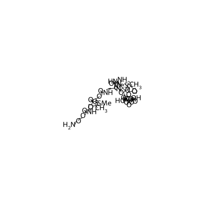 CSSC(C)c1cc(NC(=O)COCCOCCN)ccc1C(=O)OCCOCC(=O)NCC#Cc1cn([C@H]2CC(OC(=O)c3ccccc3C(C)SSC)[C@@H](COP(=O)(O)OP(=O)(O)OP(=O)(O)O)O2)c2nc(N)[nH]c(=O)c12